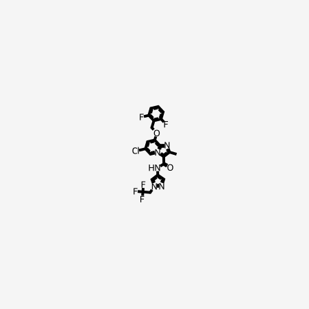 Cc1nc2c(OCc3c(F)cccc3F)cc(Cl)cn2c1C(=O)Nc1cnn(CC(F)(F)F)c1